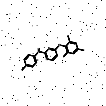 Cc1ccc(Nc2nccc(Oc3c(C)cc(C)cc3C)n2)cc1